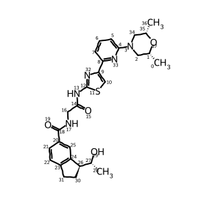 C[C@@H]1CN(c2cccc(-c3csc(NC(=O)CNC(=O)c4ccc5c(c4)[C@@H]([C@@H](C)O)CC5)n3)n2)C[C@H](C)O1